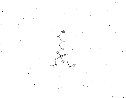 O=P(CCCl)(OCCCl)OCCCCO